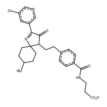 CC(C)(C)C1CCC2(CC1)N=C(c1cncc(Cl)c1)C(=O)N2CCc1ccc(C(=O)NCCC(=O)O)cc1